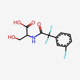 O=C(O)C(CO)NC(=O)C(F)(F)c1cccc(F)c1